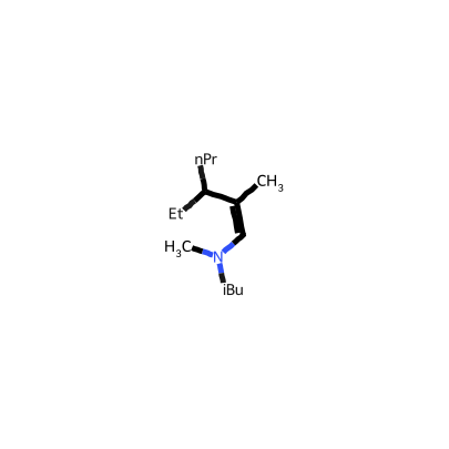 CCCC(CC)/C(C)=C\N(C)C(C)CC